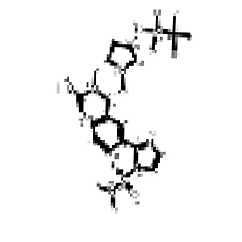 CN(C(=O)O)[C@H](CN1CC[C@H](O[Si](C)(C)C(C)(C)C)C1)c1cccc(-c2nccn2S(=O)(=O)N(C)C)c1